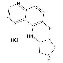 Cl.Fc1ccc2ncccc2c1N[C@@H]1CCNC1